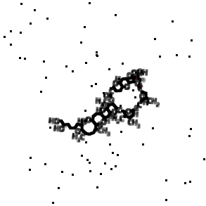 C=C1C2CC3O[C@H]4C[C@H]5OOC6C(CC[C@H]5O[C@H]4[C@H](C)C3OC(=O)CC3CCC4OC5C7O[C@@]8(O)C5O[C@@](CCC5CC(=C)[C@H](CC[C@@H](C[C@H]1C)O2)O5)(OC7[C@H]4O3)C8O)OO[C@H]1CC(CC[C@@H](O)CO)OC1[C@@H](C)CC[C@@H]6C